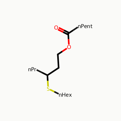 CCCCCCSC(CCC)CCOC(=O)CCCCC